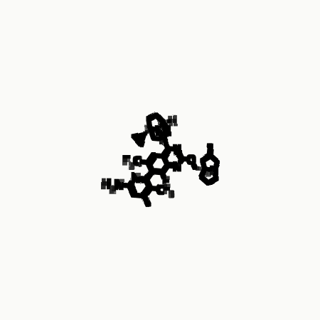 C=C1CN2CCC[C@@]2(COc2nc(N3C[C@@H]4CC[C@](C5CC5)(C3)N4)c3cc(C(F)(F)F)c(-c4nc(N)cc(C)c4C(F)(F)F)c(F)c3n2)C1